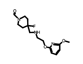 COc1cccc(OCCNCC2(F)CCN(C=O)CC2)n1